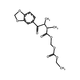 CCOC(=O)OCOC(=O)N(C)C(C)C(=O)c1ccc2c(c1)OCO2